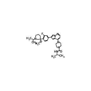 CO[C@]1(c2ccc(-c3cc4c(N5CCN(C(=O)NC(C)C)CC5)ccnn4c3)cc2F)CCCN(C(C)C)C1